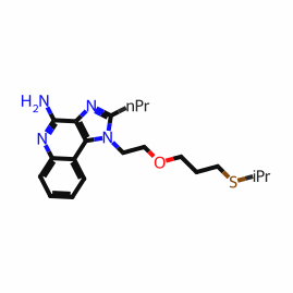 CCCc1nc2c(N)nc3ccccc3c2n1CCOCCCSC(C)C